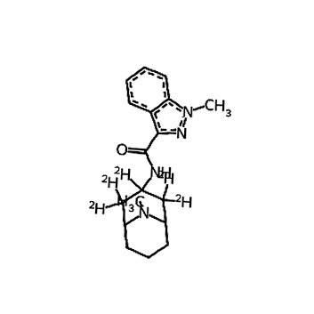 [2H]C1([2H])C2CCCC(N2C)C([2H])([2H])C1([2H])NC(=O)c1nn(C)c2ccccc12